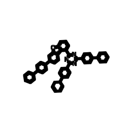 C1=CCC(c2ccc(-c3nc(-c4ccc(-c5ccccc5)cc4)nc(-c4cccc5oc6cc(-c7ccc(-c8ccccc8)cc7)ccc6c45)n3)cc2)C=C1